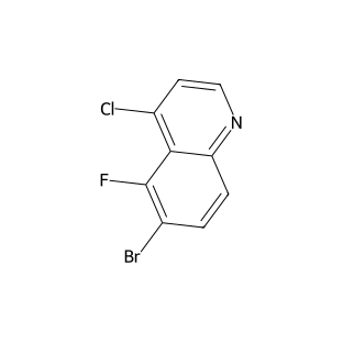 Fc1c(Br)ccc2nccc(Cl)c12